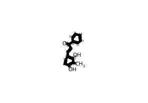 Cc1c(O)ccc(C=CC(=O)c2ccccc2)c1O